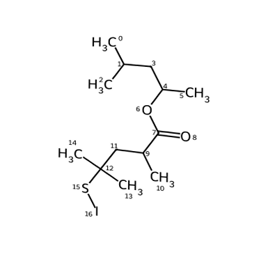 CC(C)CC(C)OC(=O)C(C)CC(C)(C)SI